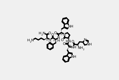 NCCCC[C@H](NC(=O)[C@H](Cc1ccccc1)NC(=O)[C@H](Cc1c[nH]c2ccccc12)N1CC[C@@H](NC(=O)[C@@H](Cc2c[nH]c3ccccc23)NC(=O)[C@@H](N)CC2CNC=N2)C1=O)C(N)=O